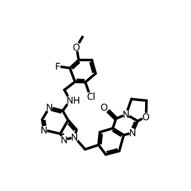 COc1ccc(Cl)c(CNc2ncnc3nn(Cc4ccc5nc6n(c(=O)c5c4)CCO6)cc23)c1F